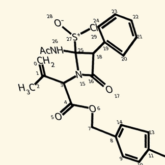 C=C(C)C(C(=O)OCc1ccc([N+](=O)[O-])cc1)N1C(=O)C(c2ccccc2)C1(NC(C)=O)[S+]([O-])Cl